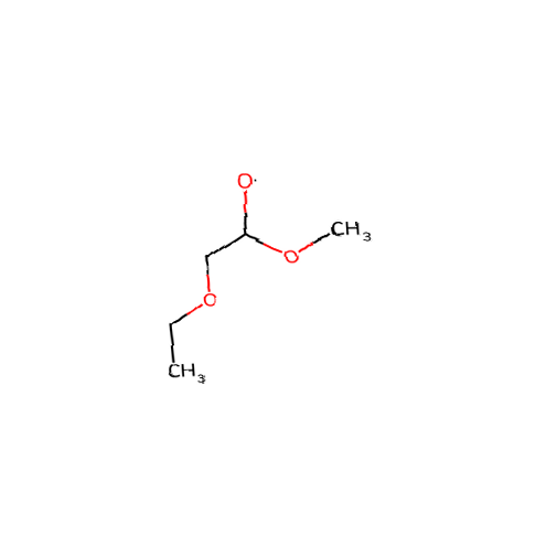 CCOCC([O])OC